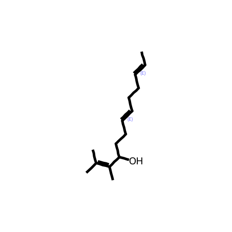 C/C=C/CC/C=C/CCC(O)C(C)=C(C)C